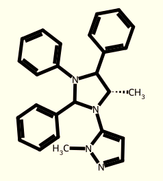 C[C@H]1C(c2ccccc2)N(c2ccccc2)C(c2ccccc2)N1c1ccnn1C